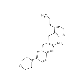 CCOc1ccccc1Cc1cc2cc(N3CCOCC3)ccc2nc1N